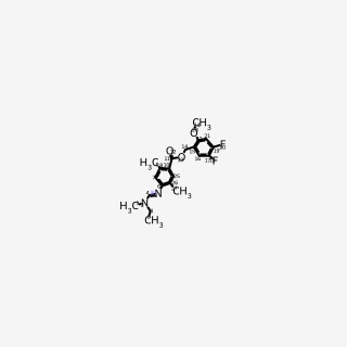 CCN(C)/C=N/c1cc(C)c(C(=O)OCc2cc(F)c(F)cc2OC)cc1C